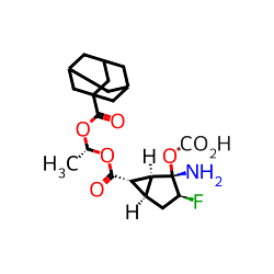 C[C@@H](OC(=O)[C@H]1[C@@H]2C[C@H](F)[C@@](N)(OC(=O)O)[C@@H]21)OC(=O)C12CC3CC(CC(C3)C1)C2